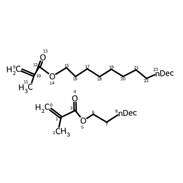 C=C(C)C(=O)OCCCCCCCCCCCC.C=C(C)C(=O)OCCCCCCCCCCCCCCCCCC